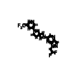 FC(F)Cn1ncc2ncc(N3CC4(CCN(c5cncc(C(F)(F)F)c5)C4)C3)nc21